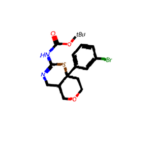 CC(C)(C)OC(=O)NC1=NCC2COCCC2(c2cccc(Br)c2)S1